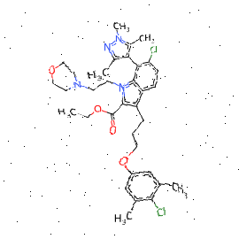 CCOC(=O)c1c(CCCOc2cc(C)c(Cl)c(C)c2)c2ccc(Cl)c(-c3c(C)nn(C)c3C)c2n1CCN1CCOCC1